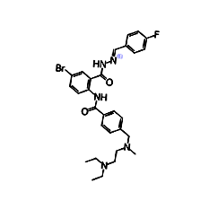 CCN(CC)CCN(C)Cc1ccc(C(=O)Nc2ccc(Br)cc2C(=O)N/N=C/c2ccc(F)cc2)cc1